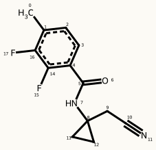 Cc1ccc(C(=O)NC2(CC#N)CC2)c(F)c1F